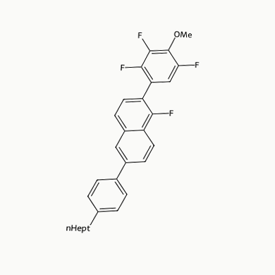 CCCCCCCc1ccc(-c2ccc3c(F)c(-c4cc(F)c(OC)c(F)c4F)ccc3c2)cc1